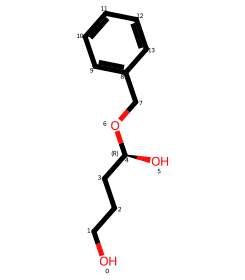 OCCC[C@H](O)OCc1ccccc1